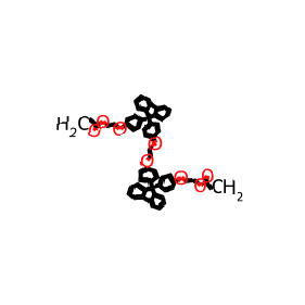 C=CC(=O)OCCOc1ccc(C2(c3ccc(OCCOc4ccc(C5(c6ccc(OCCOC(=O)C=C)cc6)c6ccccc6-c6ccccc65)cc4)cc3)c3ccccc3-c3ccccc32)cc1